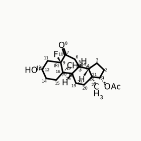 CC(=O)O[C@H]1CC[C@H]2[C@@H]3CC(=O)[C@@]4(F)C[C@@H](O)CC[C@]4(C)[C@H]3CC[C@]12C